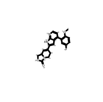 COc1ccc(F)cc1-c1ccnc2[nH]c(C3=CC4COC(=O)N4CC3)cc12